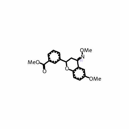 CO/N=C1\CC(c2cccc(C(=O)OC)c2)Oc2ccc(OC)cc21